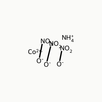 O=[N+]([O-])[O-].O=[N+]([O-])[O-].O=[N+]([O-])[O-].[Co+2].[NH4+]